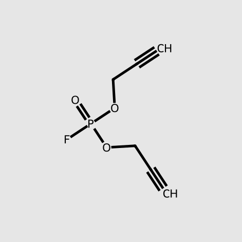 C#CCOP(=O)(F)OCC#C